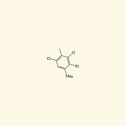 CCc1c(SC)cc(Cl)c(C)c1Cl